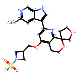 CCS(=O)(=O)N1CC(COc2cc(-c3c[nH]c4cnc(NC(C)=O)cc34)nc3c2CCOC32CCOC2)C1